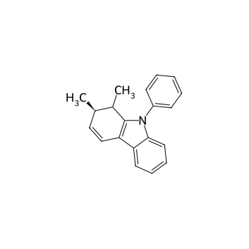 CC1c2c(c3ccccc3n2-c2ccccc2)C=C[C@H]1C